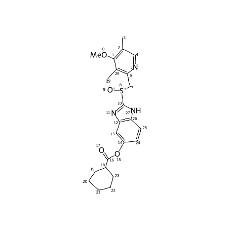 COc1c(C)cnc(C[S+]([O-])c2nc3cc(OC(=O)C4CCCCC4)ccc3[nH]2)c1C